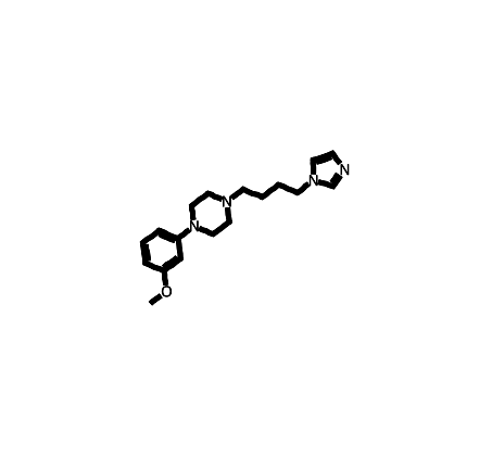 COc1cccc(N2CCN(CCCCn3ccnc3)CC2)c1